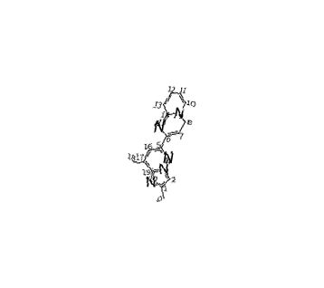 Cc1cn2nc(C3=CCN4C=CC=CC4=N3)cc(C)c2n1